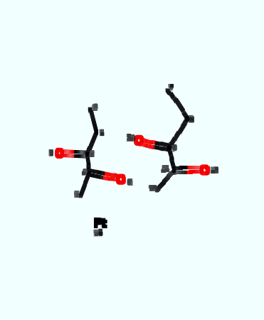 CCC(=O)C(C)=O.CCC(=O)C(C)=O.[Pt]